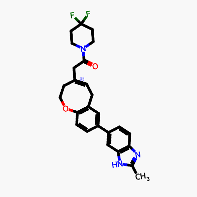 Cc1nc2ccc(-c3ccc4c(c3)C/C=C(/CC(=O)N3CCC(F)(F)CC3)CCO4)cc2[nH]1